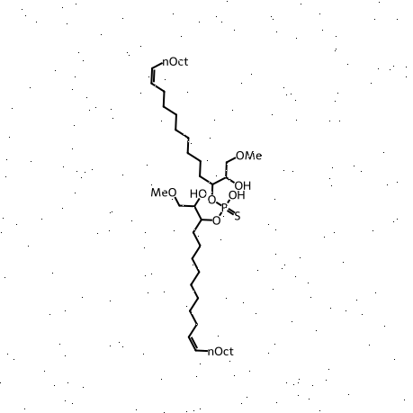 CCCCCCCC/C=C\CCCCCCCCC(OP(O)(=S)OC(CCCCCCCC/C=C\CCCCCCCC)C(O)COC)C(O)COC